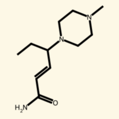 CCC(C=CC(N)=O)N1CCN(C)CC1